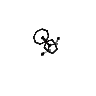 O=C1C[C@H]2CC[C@@H](C1)N2C1CCCCCCC1